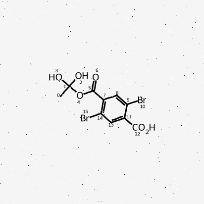 CC(O)(O)OC(=O)c1cc(Br)c(C(=O)O)cc1Br